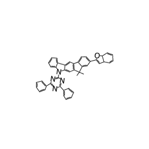 CC1(C)c2cc(C3=CC4C=CC=CC4O3)ccc2-c2cc3c4ccccc4n(-c4nc(-c5ccccc5)nc(-c5ccccc5)n4)c3cc21